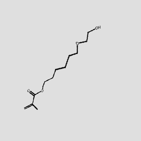 C=C(C)C(=O)OCCCCCCOCCO